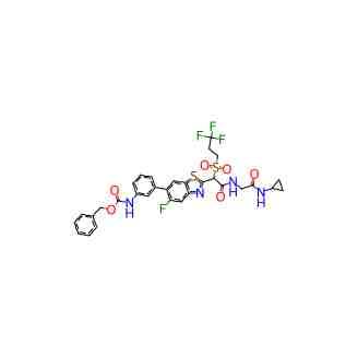 O=C(CNC(=O)C(c1nc2cc(F)c(-c3cccc(NC(=O)OCc4ccccc4)c3)cc2s1)S(=O)(=O)CCC(F)(F)F)NC1CC1